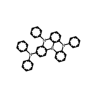 c1ccc(N(c2ccccc2)c2ccc3c(c2)N(c2ccccc2)c2cccc4c2B3c2ccccc2N4c2ccccc2)cc1